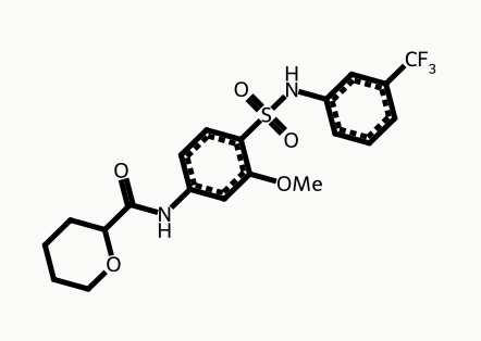 COc1cc(NC(=O)C2CCCCO2)ccc1S(=O)(=O)Nc1cccc(C(F)(F)F)c1